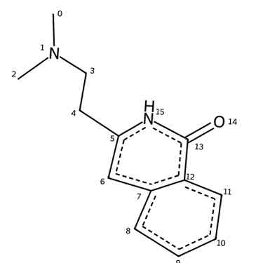 CN(C)CCc1cc2ccccc2c(=O)[nH]1